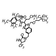 COC(CC(F)(F)F)C(N[S@@+]([O-])c1c(C)cc(C)cc1C)c1nc2cc(CN3C[C@@H](C(F)(F)F)NC3=O)ccc2n1COCC[Si](C)(C)C